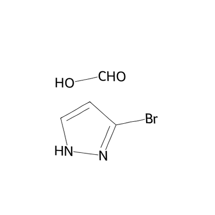 Brc1cc[nH]n1.O=CO